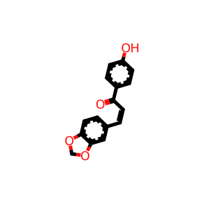 O=C(/C=C\c1ccc2c(c1)OCO2)c1ccc(O)cc1